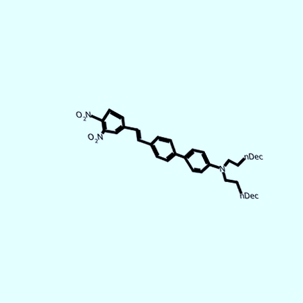 CCCCCCCCCCCCN(CCCCCCCCCCCC)c1ccc(-c2ccc(C=Cc3ccc([N+](=O)[O-])c([N+](=O)[O-])c3)cc2)cc1